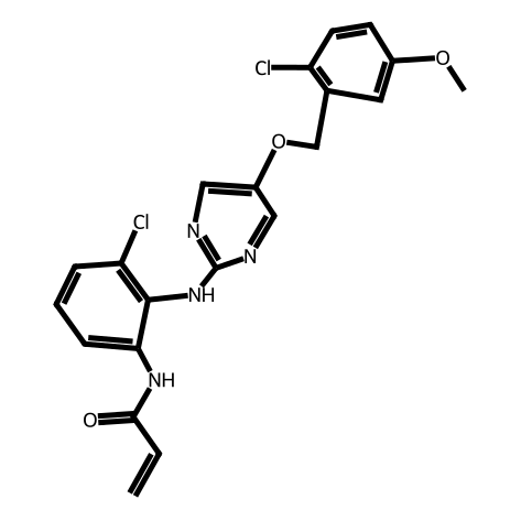 C=CC(=O)Nc1cccc(Cl)c1Nc1ncc(OCc2cc(OC)ccc2Cl)cn1